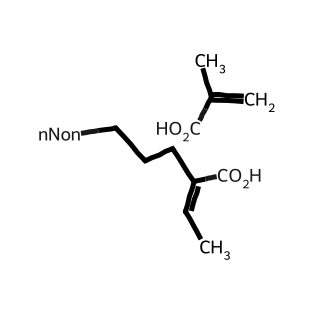 C=C(C)C(=O)O.CC=C(CCCCCCCCCCCC)C(=O)O